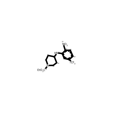 CCOC(=O)N1CCC(Nc2cc(C(F)(F)F)ccc2[N+](=O)[O-])CC1